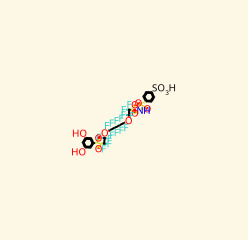 O=S(=O)(O)c1ccc(S(=O)(=O)NS(=O)(=O)C(F)(F)C(F)(F)OC(F)(F)C(F)(F)C(F)(F)C(F)(F)OC(F)(F)C(F)(F)S(=O)(=O)c2cc(O)cc(O)c2)cc1